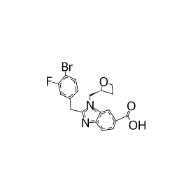 O=C(O)c1ccc2nc(Cc3ccc(Br)c(F)c3)n(C[C@@H]3CCO3)c2c1